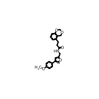 COc1ccc(-c2cc(CNC(=O)CCc3cccc4c3COCO4)on2)cc1